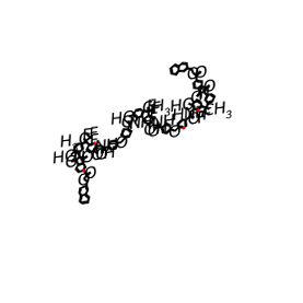 CC(c1cccc(N2C(=O)c3ccc(C(=O)OCc4ccc5ccccc5c4)cc3C2=O)c1)(c1ccc(O)c(NC(=O)c2ccc(Oc3ccc(C(=O)Nc4cc(C(C)(c5ccc(O)c(NC(=O)c6ccc(Oc7ccc(C(=O)Nc8cc(C(C)(c9ccc(O)c(N%10C(=O)c%11ccc(C(=O)OCc%12ccc%13ccccc%13c%12)cc%11C%10=O)c9)C(F)(F)F)ccc8O)cc7)cc6)c5)C(F)(F)F)ccc4O)cc3)cc2)c1)C(F)(F)F